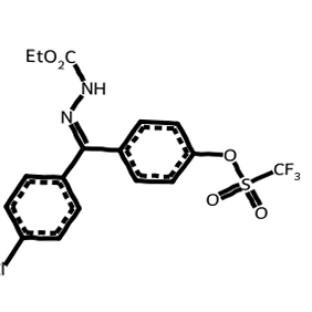 CCOC(=O)NN=C(c1ccc(Cl)cc1)c1ccc(OS(=O)(=O)C(F)(F)F)cc1